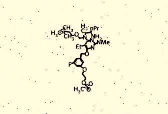 CCCC(N)C(C)N(COCC[Si](C)(C)C)c1nc(NC)nc(OCc2cc(F)cc(OCCOS(C)(=O)=O)c2)c1CC